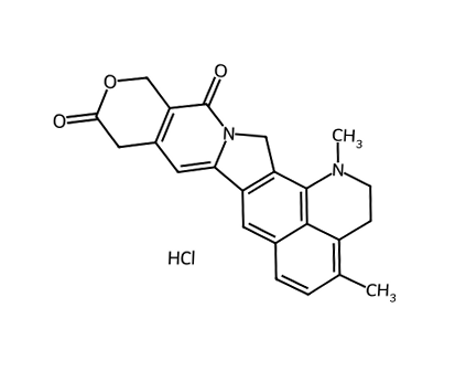 Cc1ccc2cc3c(c4c2c1CCN4C)Cn1c-3cc2c(c1=O)COC(=O)C2.Cl